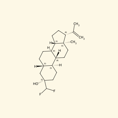 C=C(C)[C@H]1CC[C@H]2[C@@H]3CC[C@H]4C[C@](O)(C(F)F)CC[C@@H]4[C@H]3CC[C@]12C